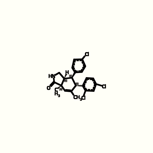 CC1=C[C@@]2(C)C(=O)NC[C@H]2[C@@H](c2ccc(Cl)cc2)[C@@H]1c1ccc(Cl)cc1Cl